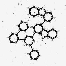 c1ccc(-c2nc(-c3ccccc3-c3ccncc3)cc(-c3ccc(-c4cccc5oc6ccccc6c45)c4c3oc3ccccc34)n2)cc1